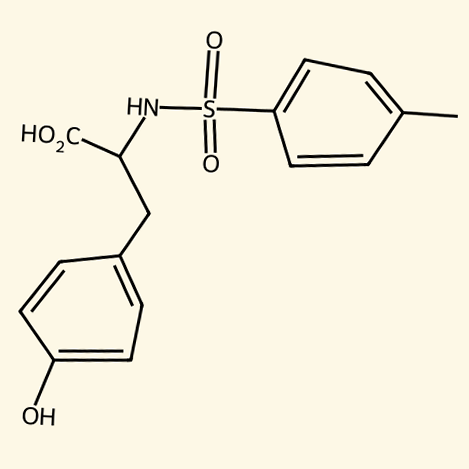 Cc1ccc(S(=O)(=O)NC(Cc2ccc(O)cc2)C(=O)O)cc1